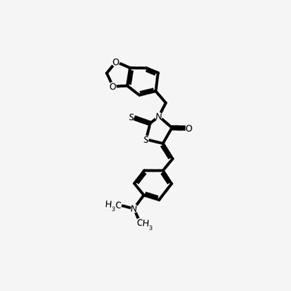 CN(C)c1ccc(/C=C2\SC(=S)N(Cc3ccc4c(c3)OCO4)C2=O)cc1